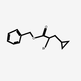 O=C(OCc1ccccc1)C(Br)CC1CC1